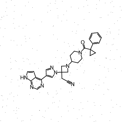 N#CCC1(n2cc(-c3ncnc4[nH]ccc34)cn2)CN(C2CCN(C(=O)C3(c4ccccc4)CC3)CC2)C1